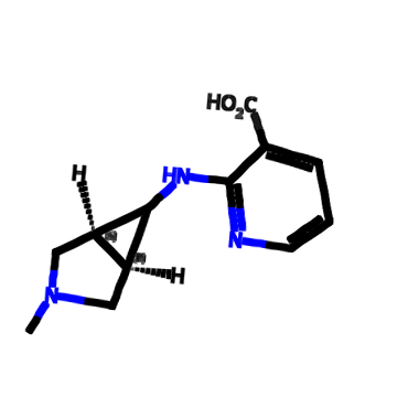 CN1C[C@@H]2C(Nc3ncccc3C(=O)O)[C@@H]2C1